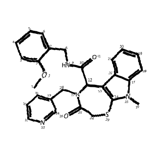 COc1ccccc1CNC(=O)C1c2c(n(C)c3ccccc23)SCC(=O)N1Cc1cccnc1